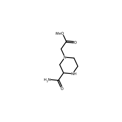 COC(=O)CN1CCNC(C(N)=O)C1